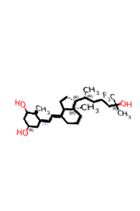 C=C1/C(=C\C=C2CCC[C@@]3(C)C2CC[C@@H]3[C@H](C)CCC[C@@](C)(O)C(F)(F)F)C[C@@H](O)CC1O